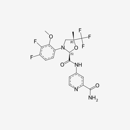 COc1c(N2C[C@](C)(C(F)(F)F)O[C@H]2C(=O)Nc2ccnc(C(N)=O)c2)ccc(F)c1F